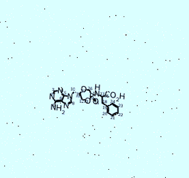 Nc1ncnc2c1ncn2C[C@H]1COP(=O)(NC(Cc2ccccc2)C(=O)O)CO1